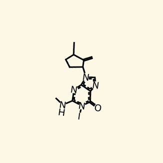 C=C1C(C)CCC1n1cnc2c(=O)n(I)c(NC)nc21